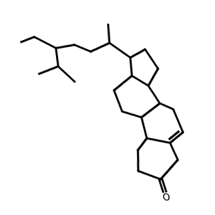 CCC(CCC(C)C1CCC2C1CCC1C3CCC(=O)CC3=CCC12)C(C)C